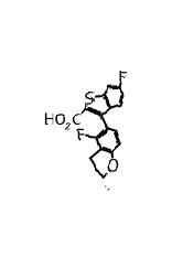 C[C@@H]1CCc2c(ccc(-c3c(C(=O)O)sc4cc(F)ccc34)c2F)O1